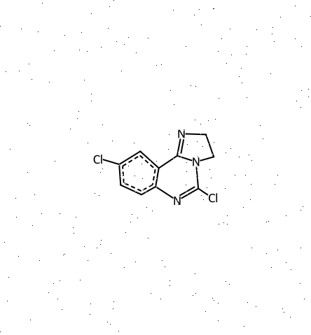 ClC1=Nc2ccc(Cl)cc2C2=NCCN12